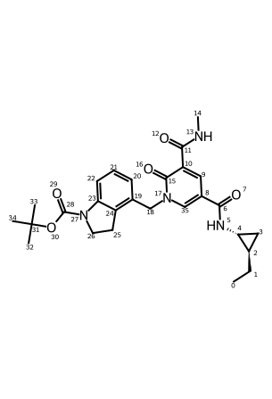 CC[C@@H]1C[C@H]1NC(=O)c1cc(C(=O)NC)c(=O)n(Cc2cccc3c2CCN3C(=O)OC(C)(C)C)c1